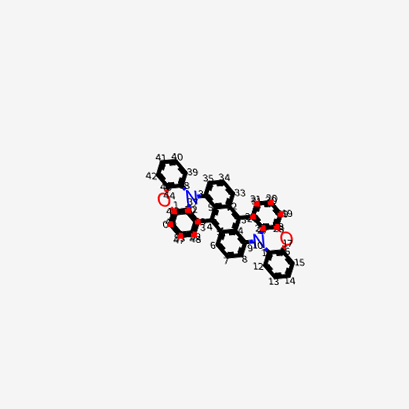 c1ccc(-c2c3cccc(N4c5ccccc5Oc5ccccc54)c3c(-c3ccccc3)c3cccc(N4c5ccccc5Oc5ccccc54)c23)cc1